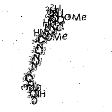 [2H]C([2H])([2H])N(c1cc(OC)ccc1Nc1nc(Nc2cc(C)c(N3CCC(N4CCN(CCc5ccc6c(c5)CN(C5CCC(=O)NC5=O)C6=O)CC4)CC3)cc2OC)ncc1Cl)S(C)(=O)=O